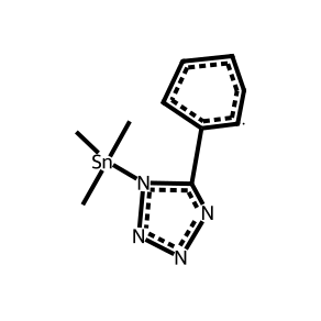 [CH3][Sn]([CH3])([CH3])[n]1nnnc1-c1[c]cccc1